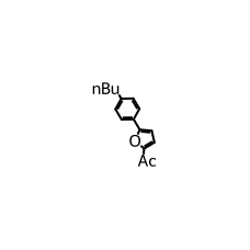 CCCCc1ccc(-c2ccc(C(C)=O)o2)cc1